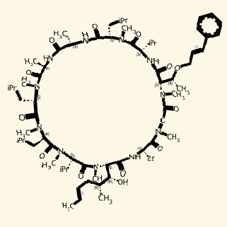 C/C=C/C[C@@H](C)[C@@H](O)[C@H]1C(=O)N[C@@H](CC)C(=O)N(C)CC(=O)N(C)[C@@H]([C@@H](C)OC/C=C/c2ccccc2)C(=O)N[C@@H](C(C)C)C(=O)N(C)[C@@H](CC(C)C)C(=O)N[C@@H](C)C(=O)N[C@H](C)C(=O)N(C)[C@@H](CC(C)C)C(=O)N(C)[C@H](CC(C)C)C(=O)N(C)[C@@H](C(C)C)C(=O)N1C